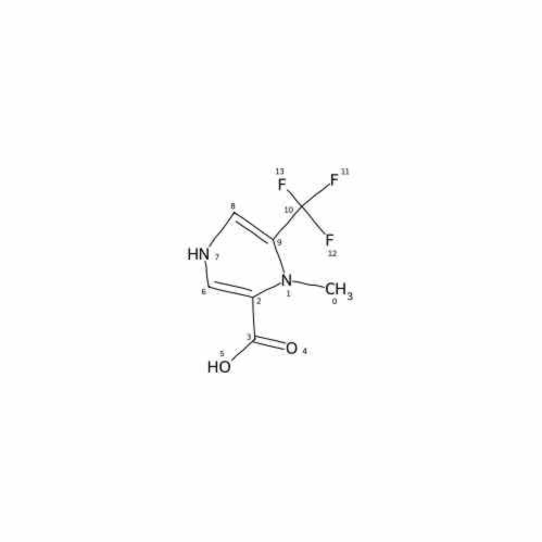 CN1C(C(=O)O)=CNC=C1C(F)(F)F